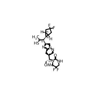 COC[C@H](c1cnn2cc([C@H]([C@H]3[C@@H]4CC(F)(F)C[C@@H]43)[C@H](C)S)nc2c1)N1CC(F)(F)CNC1=O